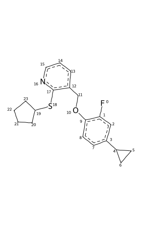 Fc1cc(C2CC2)ccc1OCc1cccnc1SC1CCCC1